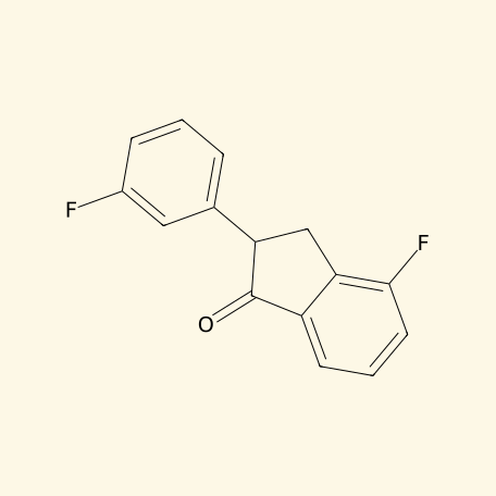 O=C1c2cccc(F)c2CC1c1cccc(F)c1